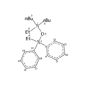 CCC[CH2][Ti]([CH2]C)([CH2]CCC)[O][Ti]([CH2]C)([c]1ccccc1)[c]1ccccc1